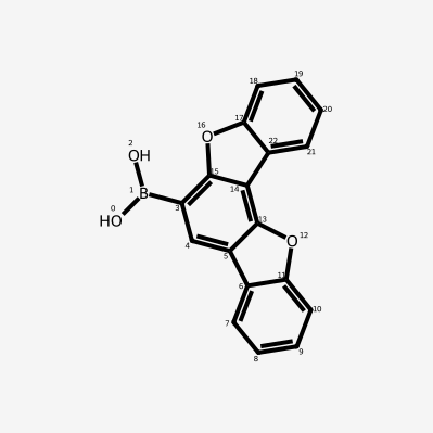 OB(O)c1cc2c3ccccc3oc2c2c1oc1ccccc12